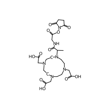 CC(C(=O)NCC(=O)ON1C(=O)CCC1=O)N1CCN(CC(=O)O)CCN(CC(=O)O)CCN(CC(=O)O)CC1